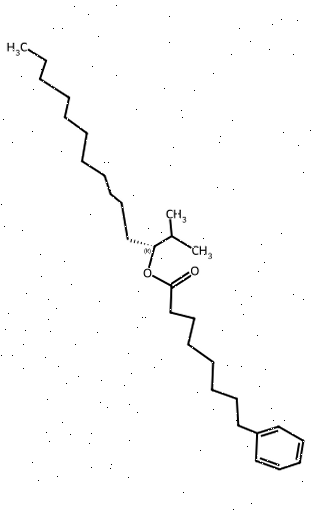 CCCCCCCCCCC[C@@H](OC(=O)CCCCCCCc1ccccc1)C(C)C